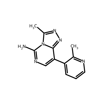 Cc1ncccc1-c1cnc(N)n2c(C)nnc12